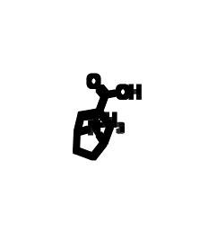 CN1C2C=C(C(=O)O)CC1CC2